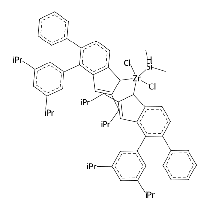 CC(C)CC1=Cc2c(ccc(-c3ccccc3)c2-c2cc(C(C)C)cc(C(C)C)c2)[CH]1[Zr]([Cl])([Cl])([CH]1C(CC(C)C)=Cc2c1ccc(-c1ccccc1)c2-c1cc(C(C)C)cc(C(C)C)c1)[SiH](C)C